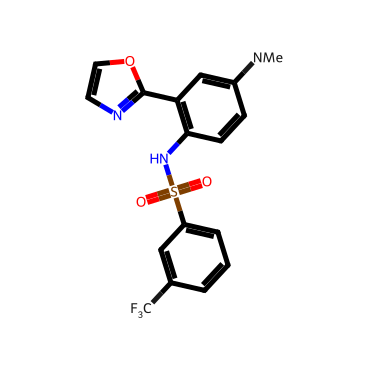 CNc1ccc(NS(=O)(=O)c2cccc(C(F)(F)F)c2)c(-c2ncco2)c1